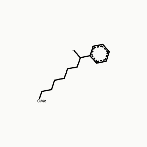 [CH2]C(CCCCCCOC)c1ccccc1